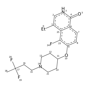 CCc1c[nH]c(=O)c2ccc(OC3CCN(CCC(C)(F)F)CC3)c(F)c12